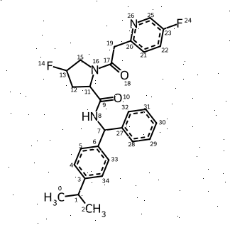 CC(C)c1ccc(C(NC(=O)C2CC(F)CN2C(=O)Cc2ccc(F)cn2)c2ccccc2)cc1